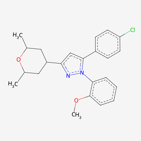 COc1ccccc1-n1nc(C2CC(C)OC(C)C2)cc1-c1ccc(Cl)cc1